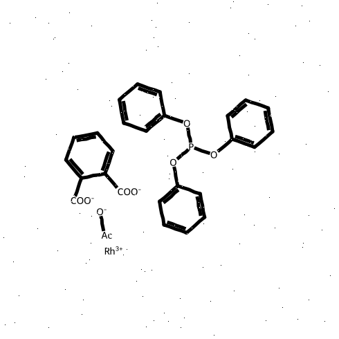 CC(=O)[O-].O=C([O-])c1ccccc1C(=O)[O-].[Rh+3].c1ccc(OP(Oc2ccccc2)Oc2ccccc2)cc1